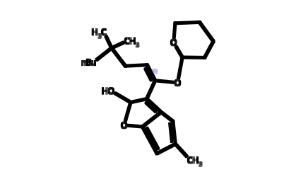 CCCCC(C)(C)C/C=C(/OC1CCCCO1)C1=C2C=C(C)C=C2OC1O